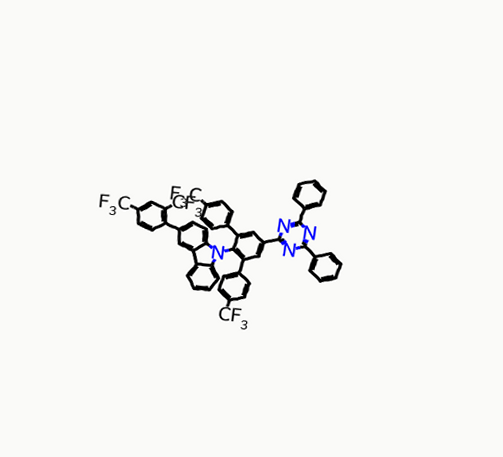 FC(F)(F)c1ccc(-c2cc(-c3nc(-c4ccccc4)nc(-c4ccccc4)n3)cc(-c3ccc(C(F)(F)F)cc3)c2-n2c3ccccc3c3cc(-c4ccc(C(F)(F)F)cc4C(F)(F)F)ccc32)cc1